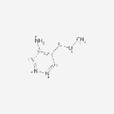 COCc1cnnnc1N